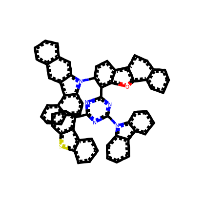 c1ccc2cc3c(cc2c1)c1c2ccccc2ccc1n3-c1ccc2c(oc3c4ccccc4ccc23)c1-c1nc(-c2cccc3sc4ccccc4c23)nc(-n2c3ccccc3c3ccccc32)n1